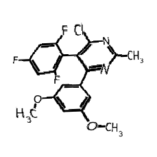 COc1cc(OC)cc(-c2nc(C)nc(Cl)c2-c2c(F)cc(F)cc2F)c1